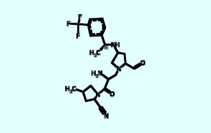 CC1CC(C#N)N(C(=O)C(N)CN2CC(N[C@@H](C)c3cccc(C(F)(F)F)c3)CC2C=O)C1